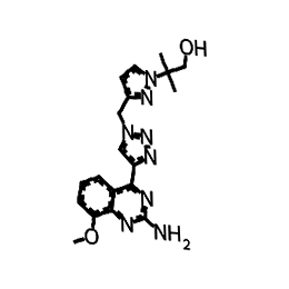 COc1cccc2c(-c3cn(Cc4ccn(C(C)(C)CO)n4)nn3)nc(N)nc12